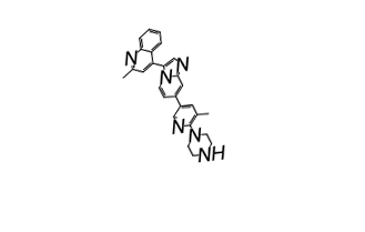 Cc1cc(-c2cnc3cc(-c4cnc(N5CCNCC5)c(C)c4)ccn23)c2ccccc2n1